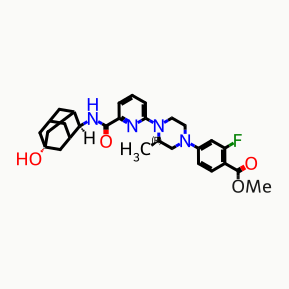 COC(=O)c1ccc(N2CCN(c3cccc(C(=O)N[C@H]4C5CC6CC4C[C@](O)(C6)C5)n3)[C@H](C)C2)cc1F